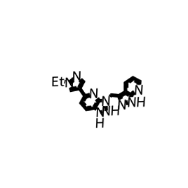 CCn1cc(-c2ccc3c(n2)N(Cc2n[nH]c4ncccc24)NN3)cn1